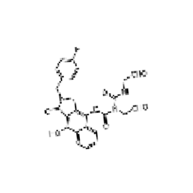 O=CCNC(=O)N(CC=O)C(=O)Oc1c2c(c(O)c3ncccc13)C(=O)N(Cc1ccc(F)cc1)C2